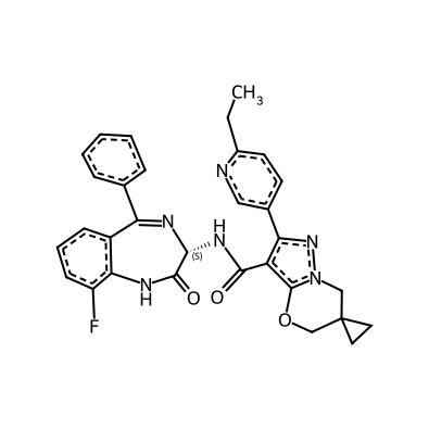 CCc1ccc(-c2nn3c(c2C(=O)N[C@H]2N=C(c4ccccc4)c4cccc(F)c4NC2=O)OCC2(CC2)C3)cn1